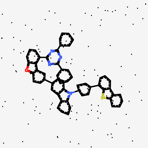 c1ccc(-c2nc(-c3ccccc3)nc(-c3cccc4oc5ccc(-c6ccc7c(c6)c6ccccc6n7-c6ccc(-c7cccc8c7sc7ccccc78)cc6)cc5c34)n2)cc1